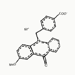 COc1ccc2c(c1)c(=O)c1ccccc1n2Cc1ccc(C(=O)[O-])cc1.[Na+]